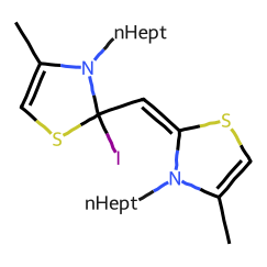 CCCCCCCN1C(C)=CS/C1=C/C1(I)SC=C(C)N1CCCCCCC